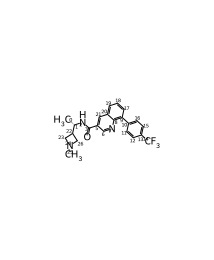 C[C@H](NC(=O)c1cnc2c(-c3ccc(C(F)(F)F)cc3)cccc2c1)C1CN(C)C1